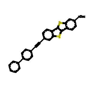 CCCCCCCCCCc1ccc2c(c1)sc1c3ccc(C#Cc4ccc(-c5ccccc5)cc4)cc3sc21